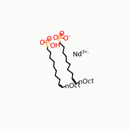 CCCCCCCC/C=C\CCCCCCCCP(=O)([O-])O.CCCCCCCC/C=C\CCCCCCCCP(=O)([O-])[O-].[Nd+3]